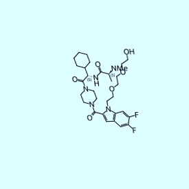 CN[C@@H](C)C(=O)N[C@H](C(=O)N1CCN(C(=O)c2cc3cc(F)c(F)cc3n2CCOCCOCCO)CC1)C1CCCCC1